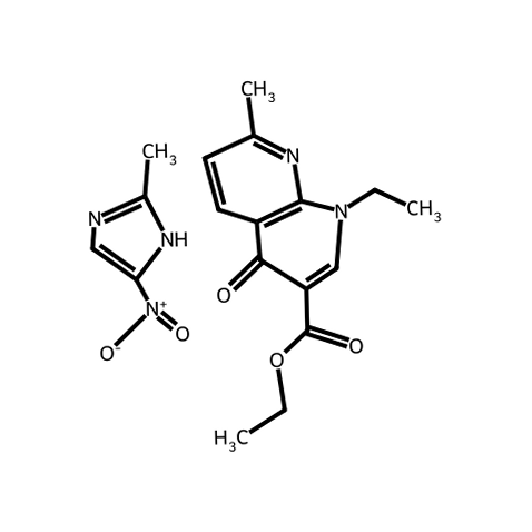 CCOC(=O)c1cn(CC)c2nc(C)ccc2c1=O.Cc1ncc([N+](=O)[O-])[nH]1